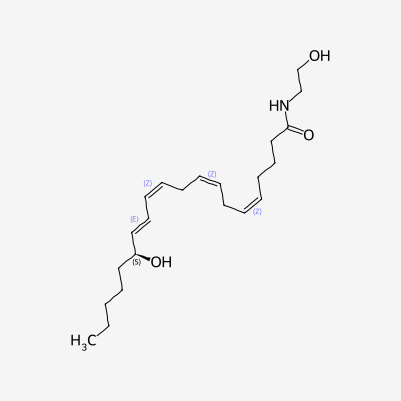 CCCCC[C@H](O)/C=C/C=C\C/C=C\C/C=C\CCCC(=O)NCCO